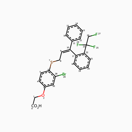 O=C(O)COc1ccc(SC/C=C(/c2ccccc2)c2ccccc2C(F)(F)CF)c(Br)c1